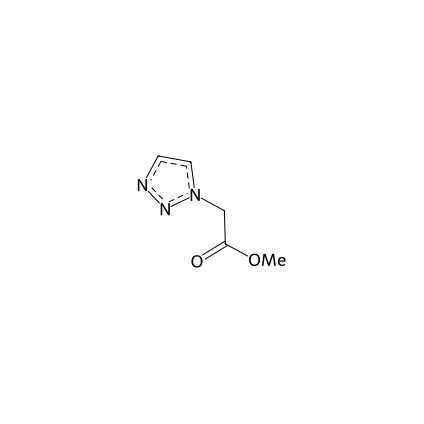 COC(=O)Cn1ccnn1